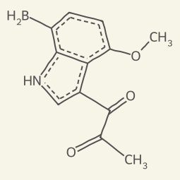 Bc1ccc(OC)c2c(C(=O)C(C)=O)c[nH]c12